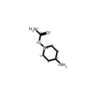 NC(=O)ON1CCC(N)CC1